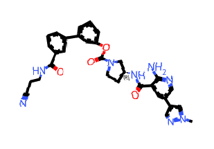 Cn1cc(-c2cnc(N)c(C(=O)N[C@@H]3CCN(C(=O)Oc4cccc(-c5cccc(C(=O)NCCC#N)c5)c4)C3)c2)cn1